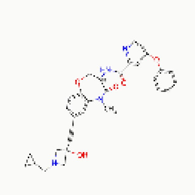 CN1C(=O)[C@H](NC(=O)c2cc(Oc3ccccc3)ccn2)COc2ccc(C#CC3(O)CN(CC4CC4)C3)cc21